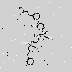 CN(CC(O)CNC(C)(C)CCCc1ccccc1)S(=O)(=O)c1ccc(-c2cccc(CCC(=O)O)c2)c(Cl)c1